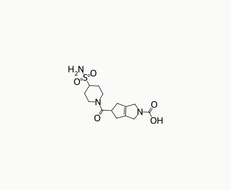 NS(=O)(=O)C1CCN(C(=O)C2CC3=C(C2)CN(C(=O)O)C3)CC1